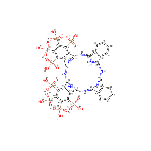 O=S(=O)(O)c1c2c(c(S(=O)(=O)O)c(S(=O)(=O)O)c1S(=O)(=O)O)-c1nc-2nc2[nH]c(nc3nc(nc4[nH]c(n1)c1c(S(=O)(=O)O)c(S(=O)(=O)O)c(S(=O)(=O)O)c(S(=O)(=O)O)c41)-c1ccccc1-3)c1ccccc21